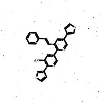 Cc1cc(-c2ncc(-c3ccsc3)cc2/C=C/c2ccccc2)cnc1-c1ccsc1